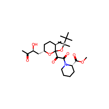 COC(=O)[C@@H]1CCCCN1C(=O)C(=O)C1(O[Si](C)(C)C(C)(C)C)O[C@H](C[C@H](O)C(C)=O)CC[C@H]1C